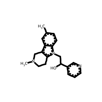 Cc1ccc2c(c1)c1c(n2CC(O)c2cccnc2)CCN(C)C1